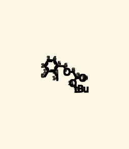 Cc1cccc(COCC(=O)OC(C)(C)C)c1I